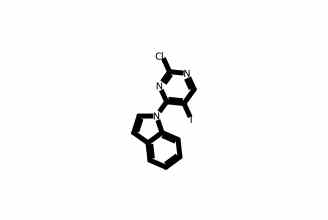 Clc1ncc(I)c(-n2ccc3ccccc32)n1